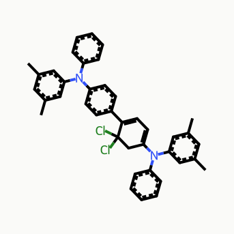 Cc1cc(C)cc(N(C2=CC=C(c3ccc(N(c4ccccc4)c4cc(C)cc(C)c4)cc3)C(Cl)(Cl)C2)c2ccccc2)c1